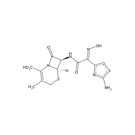 CC1=C(C(=O)O)N2C(=O)[C@@H](NC(=O)C(=NO)c3csc(N)n3)[C@H]2SC1